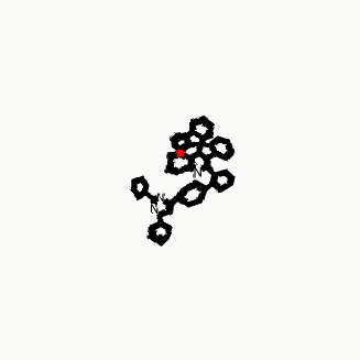 c1ccc(-c2cc(-c3ccc(-c4ccccc4-c4nc5ccccc5c5c4-c4ccccc4C54c5ccccc5-c5ccccc54)cc3)nc(-c3ccccc3)n2)cc1